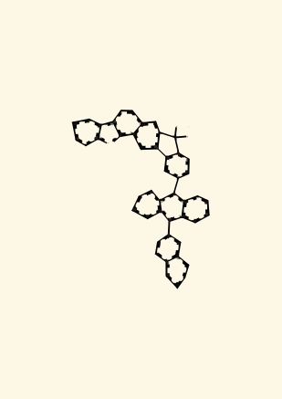 CC1(C)c2ccc(-c3c4ccccc4c(-c4ccc5ccccc5c4)c4ccccc34)cc2-c2cc3c(ccc4c5ccccc5sc34)cc21